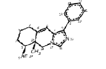 CC(=O)[C@H]1CCCC2=Cc3c(-c4ccccc4)ncn3C[C@@]21C